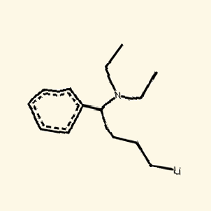 [Li][CH2]CCC(c1ccccc1)N(CC)CC